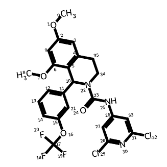 COc1cc2c(c(OC)c1)C(c1cccc(OC(F)(F)F)c1)N(C(=O)Nc1cc(Cl)nc(Cl)c1)CC2